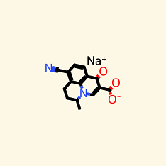 CC1CCc2c(C#N)ccc3c(=O)c(C(=O)[O-])cn1c23.[Na+]